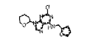 Clc1nc(NCc2ccco2)c2ncn(C3CCCCO3)c2n1